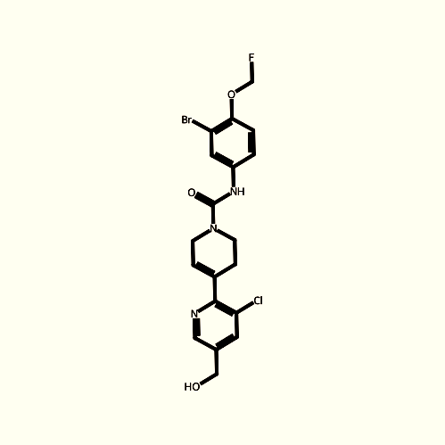 O=C(Nc1ccc(OCF)c(Br)c1)N1CC=C(c2ncc(CO)cc2Cl)CC1